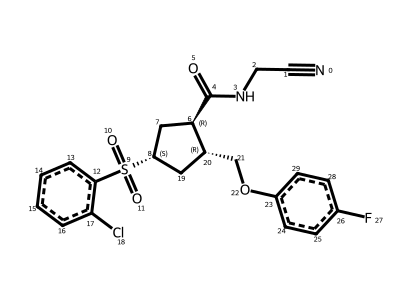 N#CCNC(=O)[C@@H]1C[C@@H](S(=O)(=O)c2ccccc2Cl)C[C@H]1COc1ccc(F)cc1